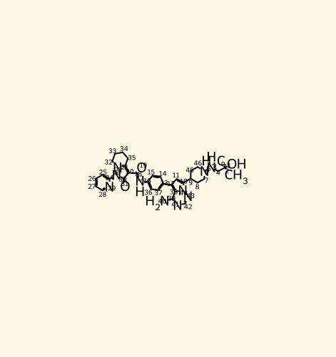 CC(C)(O)CNN1CCC(c2cc(-c3ccc(NC(=O)c4c5n(n(-c6ccccn6)c4=O)CCCC5)cc3)c3c(N)ncnn23)CC1